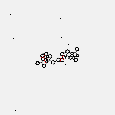 C1=CC(N(c2ccccc2)c2ccc3c(c2)C2(c4ccccc4-3)c3ccccc3N(c3cccc(-c4ccc(-c5ccc(N(c6ccc7c(c6)C6(c8ccccc8-7)c7ccccc7N(c7ccccc7)c7ccccc76)c6ccccc6-c6cccc(-c7ccccc7)c6)cc5)cc4)c3)c3ccccc32)=C(c2cccc(-c3ccccc3)c2)CC1